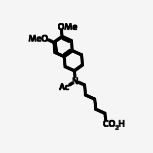 COc1cc2c(cc1OC)CC(N(CCCCCC(=O)O)C(C)=O)CC2